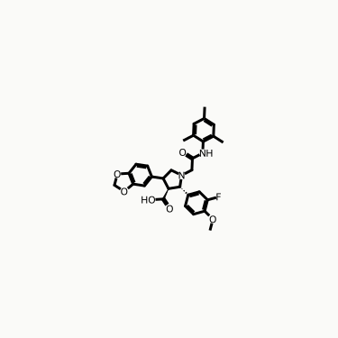 COc1ccc([C@@H]2[C@@H](C(=O)O)C(c3ccc4c(c3)OCO4)CN2CC(=O)Nc2c(C)cc(C)cc2C)cc1F